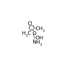 Cc1cc(Cl)cc(C)c1OCC(O)CN